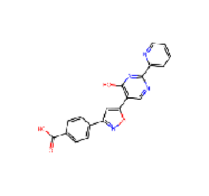 O=C(O)c1ccc(-c2cc(-c3cnc(-c4ccccn4)nc3O)on2)cc1